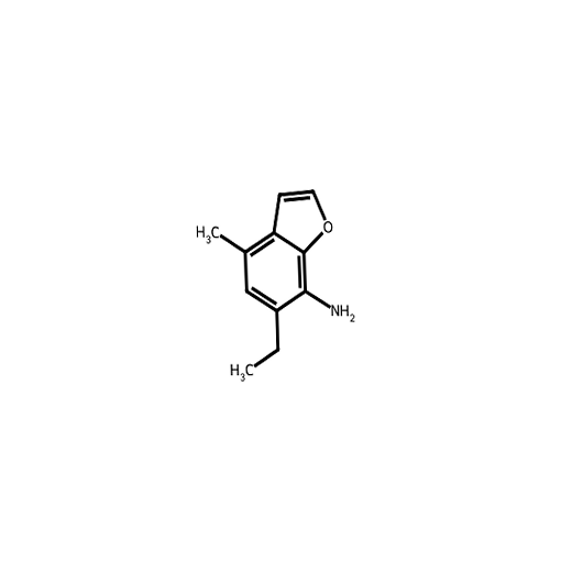 CCc1cc(C)c2ccoc2c1N